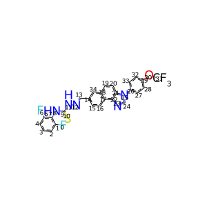 Fc1cccc(F)c1NC(=S)N/N=C/c1ccc2c(ccc3c2ncn3-c2ccc(OC(F)(F)F)cc2)c1